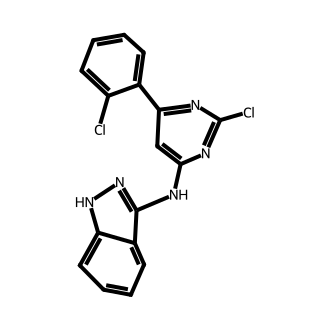 Clc1nc(Nc2n[nH]c3ccccc23)cc(-c2ccccc2Cl)n1